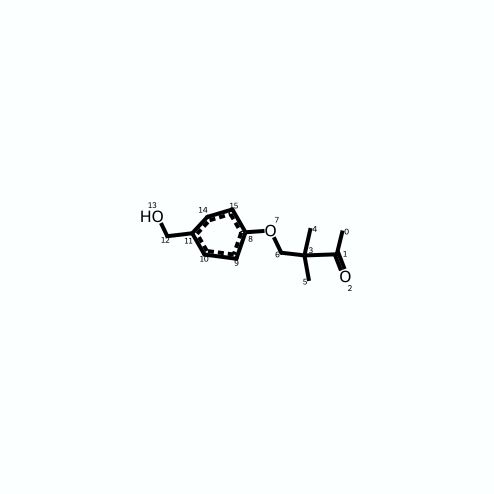 CC(=O)C(C)(C)COc1ccc(CO)cc1